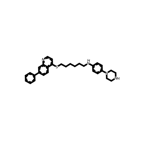 c1ccc(-c2ccc3c(SCCCCCCNc4ccc(N5CCNCC5)cc4)ccnc3c2)cc1